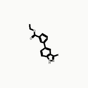 CCOC(=O)c1cccc(-c2ccc3[nH]nc(I)c3c2)c1